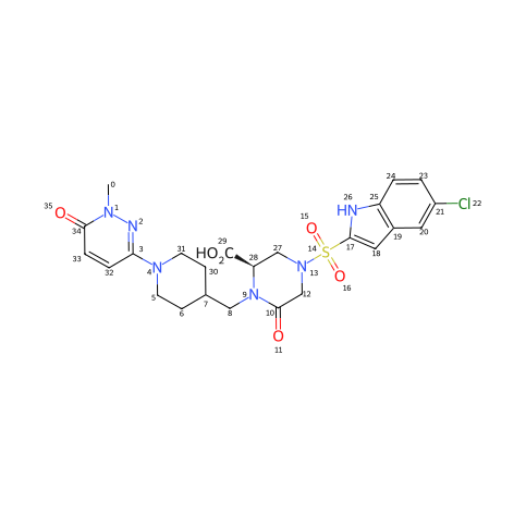 Cn1nc(N2CCC(CN3C(=O)CN(S(=O)(=O)c4cc5cc(Cl)ccc5[nH]4)C[C@@H]3C(=O)O)CC2)ccc1=O